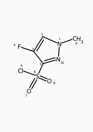 Cn1cc(F)c(S(=O)(=O)Cl)n1